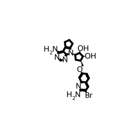 Nc1nc2cc(OC[C@H]3C[C@@H](n4c5c(c6c(N)ncnc64)CCC5)[C@H](O)[C@@H]3O)ccc2cc1Br